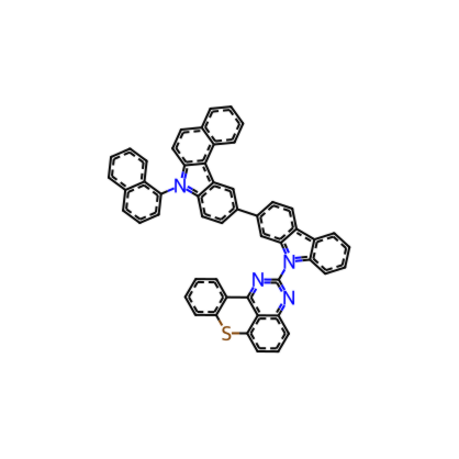 c1ccc2c(c1)Sc1cccc3nc(-n4c5ccccc5c5ccc(-c6ccc7c(c6)c6c8ccccc8ccc6n7-c6cccc7ccccc67)cc54)nc-2c13